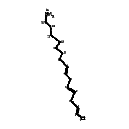 CCC=CCC=CCC=CCCCCCCCN